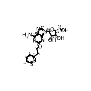 Nc1nc(OCCc2ccccn2)nc2c1ncn2[C@@H]1O[C@H](CO)[C@@H](O)[C@H]1O